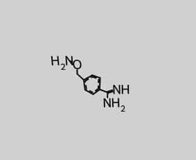 N=C(N)c1ccc(CON)cc1